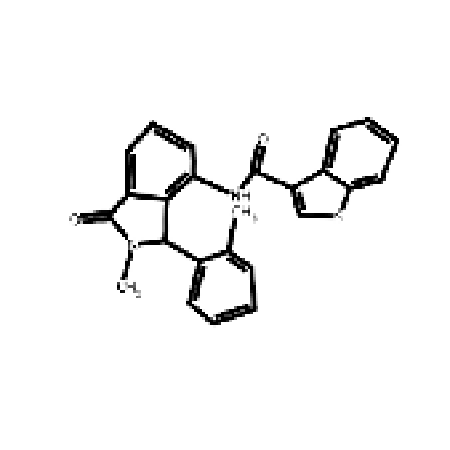 Cc1ccccc1C1c2c(NC(=O)c3csc4ccccc34)cccc2C(=O)N1C